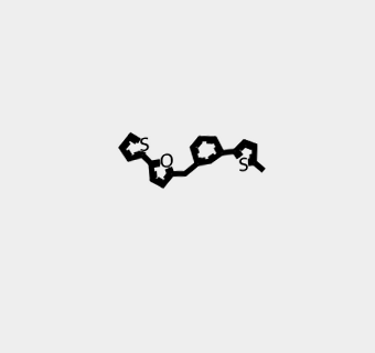 Cc1ccc(-c2cccc(Cc3ccc(-c4cccs4)o3)c2)s1